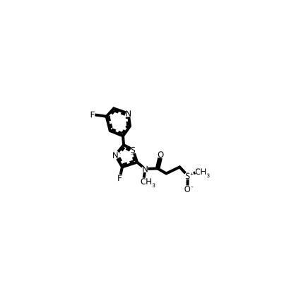 CN(C(=O)CC[S+](C)[O-])c1sc(-c2cncc(F)c2)nc1F